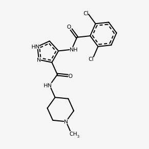 CN1CCC(NC(=O)c2n[nH]cc2NC(=O)c2c(Cl)cccc2Cl)CC1